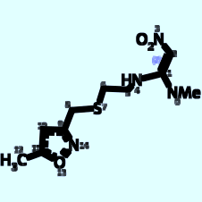 CN/C(=C/[N+](=O)[O-])NCCSCc1cc(C)on1